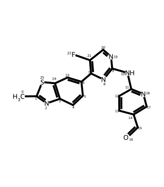 Cc1nc2ccc(-c3nc(Nc4ccc(C=O)cn4)ncc3F)cc2s1